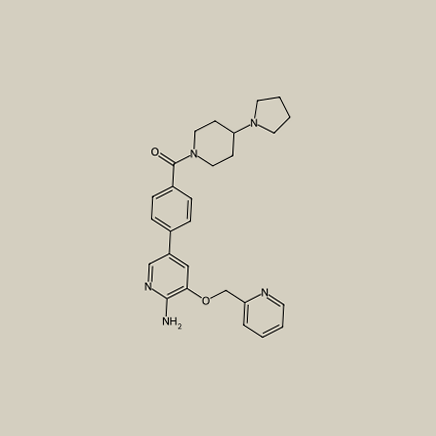 Nc1ncc(-c2ccc(C(=O)N3CCC(N4CCCC4)CC3)cc2)cc1OCc1ccccn1